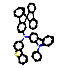 c1ccc(-n2c3ccccc3c3ccc(N(c4ccc5c(c4)C4(c6ccccc6-c6ccccc64)c4ccccc4-5)c4ccc5sc6ccccc6c5c4)cc32)cc1